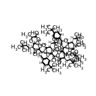 C[C@@H](OC(=O)[C@H](CCC(C)(C)C)N(C)C(=O)[C@@H](Cc1ccc(C(C)(C)C)cc1)OC(=O)[C@H](CC(C)(C)F)N(C)C(=O)[C@@H](C)OC(=O)[C@H](CCC(C)(C)C)N(C)C(=O)[C@@H](CCc1ccc(C(C)(C)C)cc1)OC(=O)[C@H](CC(C)(C)F)N(C)C(=O)OC(C)(C)C)C(=O)O